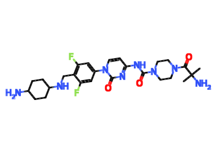 CC(C)(N)C(=O)N1CCN(C(=O)Nc2ccn(-c3cc(F)c(CNC4CCC(N)CC4)c(F)c3)c(=O)n2)CC1